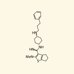 CNc1sc2c(c1C(=N)N[C@H]1CC[C@H](NCCCc3ccccc3)CC1)CCC2